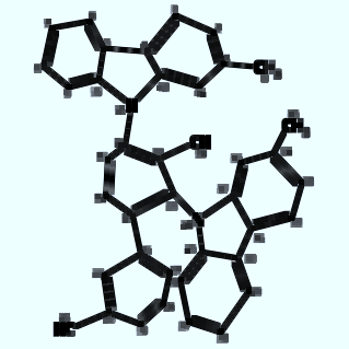 Cc1ccc2c3ccccc3n(-c3ccc(-c4cccc(C#N)c4)c(-n4c5ccccc5c5ccc(C)cc54)c3C#N)c2c1